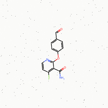 NC(=O)c1c(F)ccnc1Oc1ccc(C=O)cc1